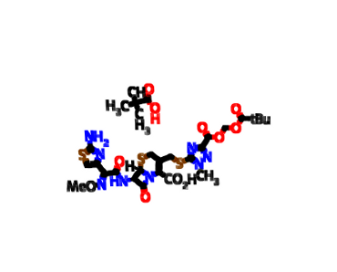 CC(C)(C)C(=O)O.CON=C(C(=O)N[C@@H]1C(=O)N2C(C(=O)O)=C(CSc3nc(C(=O)OCOC(=O)C(C)(C)C)nn3C)CS[C@H]12)c1csc(N)n1